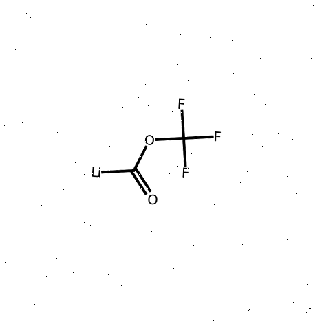 [Li][C](=O)OC(F)(F)F